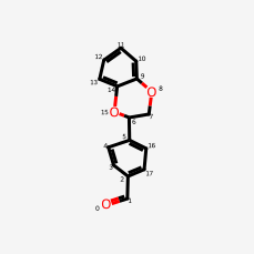 O=Cc1ccc(C2COc3ccccc3O2)cc1